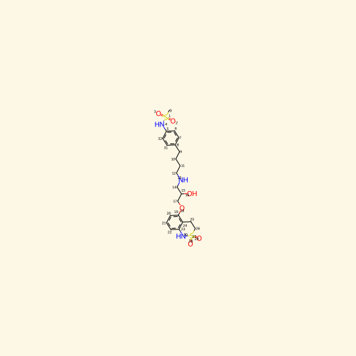 CS(=O)(=O)Nc1ccc(CCCCNCC(O)COc2cccc3c2CCS(=O)(=O)N3)cc1